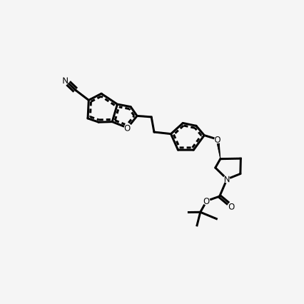 CC(C)(C)OC(=O)N1CC[C@H](Oc2ccc(CCc3cc4cc(C#N)ccc4o3)cc2)C1